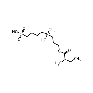 CCC(C)C(=O)OCCC[N+](C)(C)CCCCS(=O)(=O)O